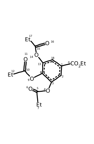 CCOC(=O)c1cc(OC(=O)CC)c(OC(=O)CC)c(OC(=O)CC)c1